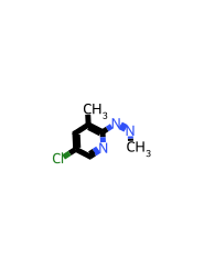 C/N=N\c1ncc(Cl)cc1C